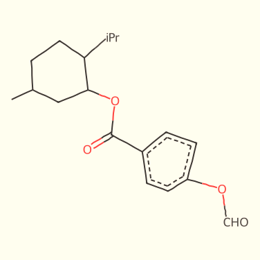 CC1CCC(C(C)C)C(OC(=O)c2ccc(OC=O)cc2)C1